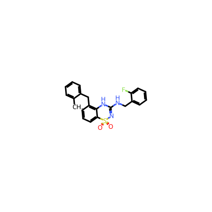 Cc1ccccc1Cc1cccc2c1NC(NCc1ccccc1F)=NS2(=O)=O